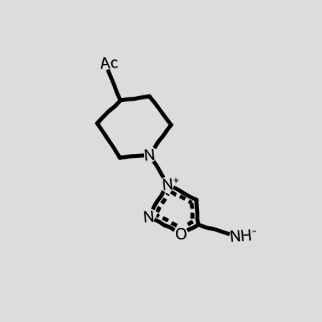 CC(=O)C1CCN([n+]2cc([NH-])on2)CC1